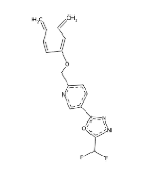 C=C/C=C\C(=C/C=C)OCc1ccc(-c2nnc(C(F)F)o2)cn1